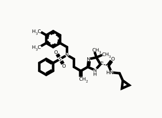 C=C(CCN(Cc1ccc(C)c(C)c1)S(=O)(=O)C1=CCCC=C1)C1=NC(C)(C)[C@H](C(=O)NCC2CC2)N1